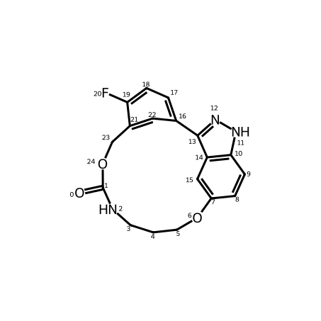 O=C1NCCCOc2ccc3[nH]nc(c3c2)-c2ccc(F)c(c2)CO1